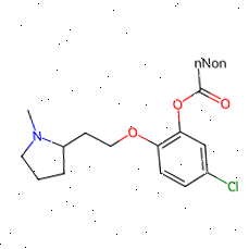 CCCCCCCCCC(=O)Oc1cc(Cl)ccc1OCCC1CCCN1C